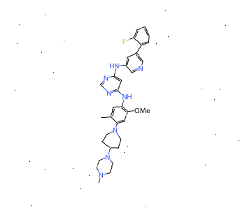 COc1cc(N2CCC(N3CCN(C)CC3)CC2)c(C)cc1Nc1cc(Nc2cncc(-c3ccccc3F)c2)ncn1